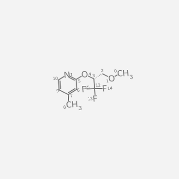 COC[C@@H](Oc1cc(C)ccn1)C(F)(F)F